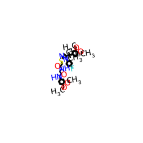 COc1ccc(NC(=O)CNC(=O)CSc2ncc(C(C)(C)c3ccc(OC)c(OC)c3)n2-c2ccc(F)cc2)cc1OC